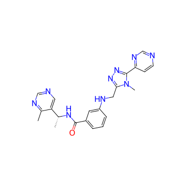 Cc1ncncc1[C@@H](C)NC(=O)c1cccc(NCc2nnc(-c3ccncn3)n2C)c1